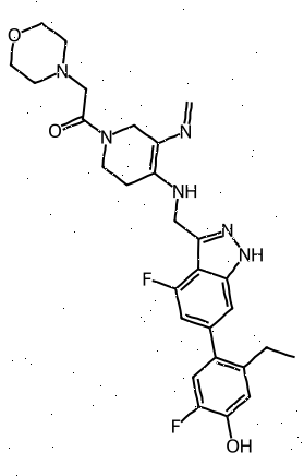 C=NC1=C(NCc2n[nH]c3cc(-c4cc(F)c(O)cc4CC)cc(F)c23)CCN(C(=O)CN2CCOCC2)C1